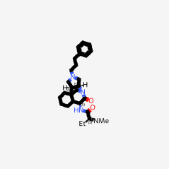 CC[C@H](NC)C(=O)N[C@@H]1C(=O)N2CC3(CCCCC13)[C@H]1CN(CCCc3ccccc3)C[C@H]12